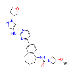 CC(C)OC1CN(C(=O)NC2CCCCc3cc(-c4ccnc(Nc5cnn([C@@H]6CCOC6)c5)n4)ccc32)C1